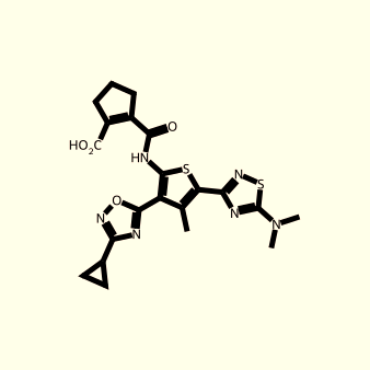 Cc1c(-c2nsc(N(C)C)n2)sc(NC(=O)C2=C(C(=O)O)CCC2)c1-c1nc(C2CC2)no1